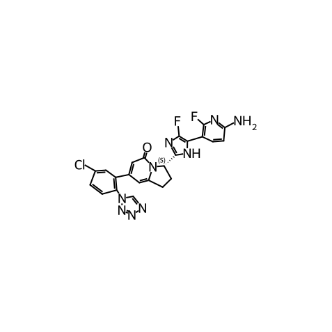 Nc1ccc(-c2[nH]c([C@@H]3CCc4cc(-c5cc(Cl)ccc5-n5cnnn5)cc(=O)n43)nc2F)c(F)n1